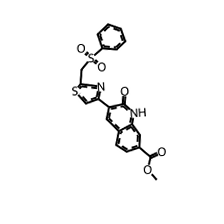 COC(=O)c1ccc2cc(-c3csc(CS(=O)(=O)c4ccccc4)n3)c(=O)[nH]c2c1